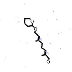 C/C(C=O)=C\CC/C(C)=C/COC1CCCCO1